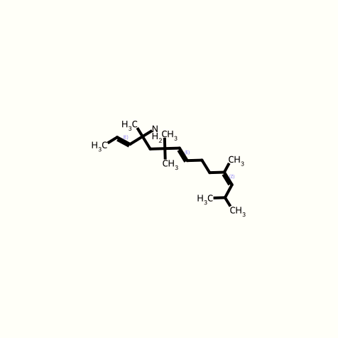 C/C=C/C(C)(N)CC(C)(C)/C=C/CC/C(C)=C\C(C)C